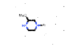 CCN1CCNC(OC)C1